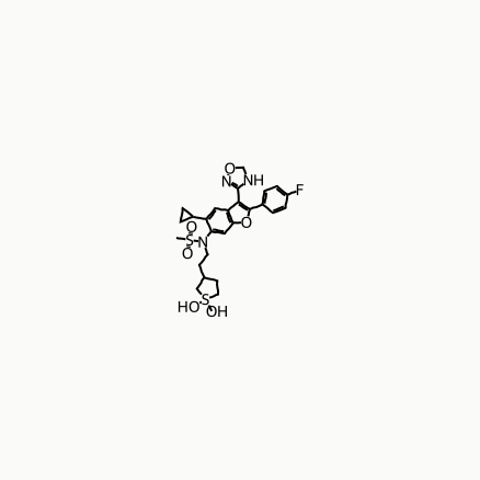 CS(=O)(=O)N(CCC1CCS(O)(O)C1)c1cc2oc(-c3ccc(F)cc3)c(C3=NOCN3)c2cc1C1CC1